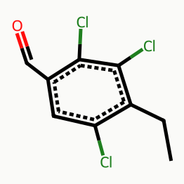 CCc1c(Cl)cc(C=O)c(Cl)c1Cl